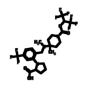 CN(Cc1ccc(C(F)(F)F)cc1N1CCCC1C(=O)O)C1(C)CCN(C(=O)OC(C(F)(F)F)C(F)(F)F)CC1